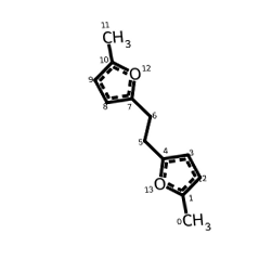 Cc1[c]cc(CCc2ccc(C)o2)o1